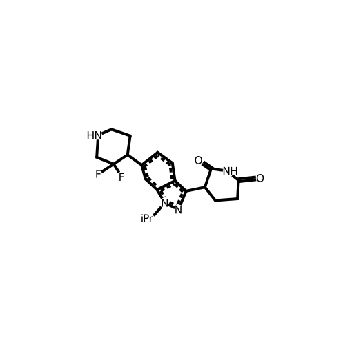 CC(C)n1nc(C2CCC(=O)NC2=O)c2ccc(C3CCNCC3(F)F)cc21